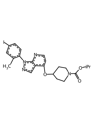 Cc1cc(I)ccc1-n1ncc2c(OC3CCN(C(=O)OC(C)C)CC3)ccnc21